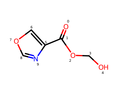 O=C(OCO)c1cocn1